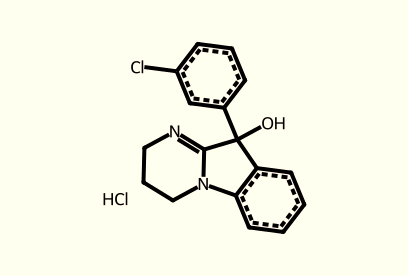 Cl.OC1(c2cccc(Cl)c2)C2=NCCCN2c2ccccc21